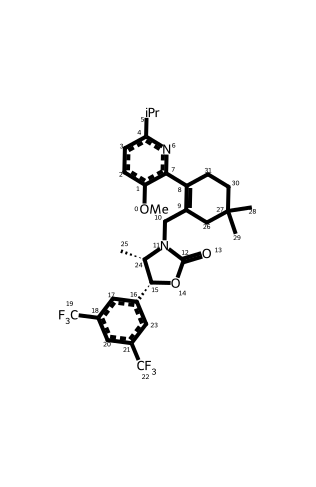 COc1ccc(C(C)C)nc1C1=C(CN2C(=O)O[C@H](c3cc(C(F)(F)F)cc(C(F)(F)F)c3)[C@@H]2C)CC(C)(C)CC1